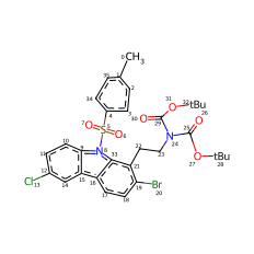 Cc1ccc(S(=O)(=O)n2c3ccc(Cl)cc3c3ccc(Br)c(CCN(C(=O)OC(C)(C)C)C(=O)OC(C)(C)C)c32)cc1